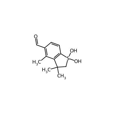 Cc1c(C=O)ccc2c1C(C)(C)CS2(O)O